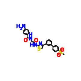 CS(=O)(=O)c1ccc(-c2cccc(-c3csc(NC(=O)CNC(=O)c4ccc(N)cc4)n3)c2)cc1